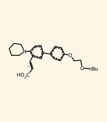 CCCCOCCOc1ccc(-c2ccc(N3CCCCC3)c(/C=C/C(=O)O)c2)cc1